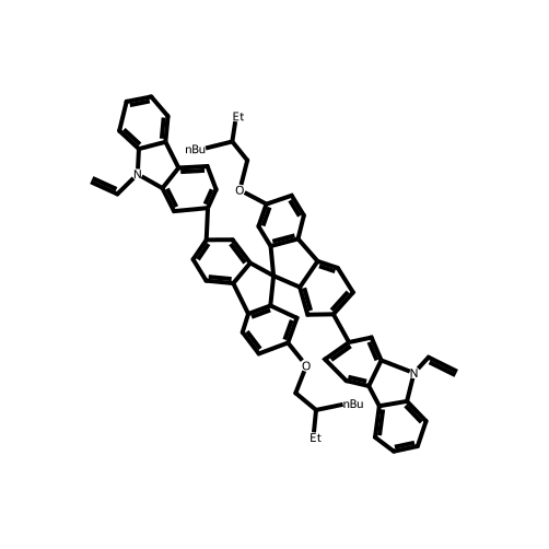 C=Cn1c2ccccc2c2ccc(-c3ccc4c(c3)C3(c5cc(OCC(CC)CCCC)ccc5-4)c4cc(OCC(CC)CCCC)ccc4-c4ccc(-c5ccc6c7ccccc7n(C=C)c6c5)cc43)cc21